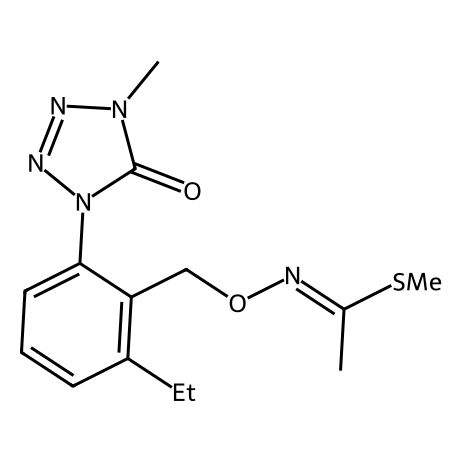 CCc1cccc(-n2nnn(C)c2=O)c1CON=C(C)SC